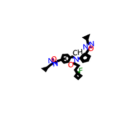 CC(N(C(=O)CCC1(F)CCC1)c1cccc(-c2nc(C3CC3)no2)c1)C12CCC(c3nc(C4CC4)no3)(CC1)CC2